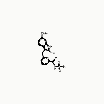 CCS(=O)(=O)NC(=O)c1cccc(Cc2c(C(C)(C)C)[nH]c3cc(OC)ccc23)n1